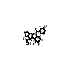 Cc1c([C@](C)(C(=O)O)C2CCCC2)c2c(F)c(O)ccc2n1C(=O)c1cccc(Cl)c1